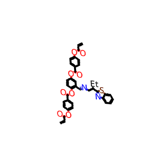 C=CC(=O)Oc1ccc(C(=O)Oc2ccc(OC(=O)c3ccc(OC(=O)C=C)cc3)c(/C=N/CC(CC)c3nc4ccccc4s3)c2)cc1